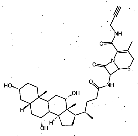 C#CCNC(=O)C1=C(C)CSC2C(NC(=O)CC[C@@H](C)[C@H]3CC[C@H]4C5C(C[C@H](O)[C@]34C)[C@@]3(C)CC[C@@H](O)C[C@H]3C[C@H]5O)C(=O)N12